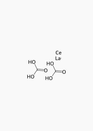 O=C(O)O.O=C(O)O.[Ce].[La]